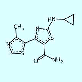 Cc1n[c]sc1-c1nc(NC2CC2)sc1C(N)=O